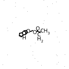 C=C(C)C(=O)OCCOC1C2CCC1[C@@H]1C=CCC21